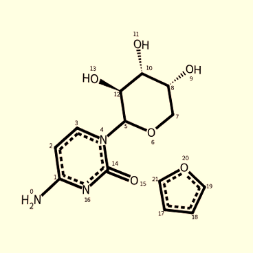 Nc1ccn(C2OC[C@@H](O)[C@@H](O)[C@@H]2O)c(=O)n1.c1ccoc1